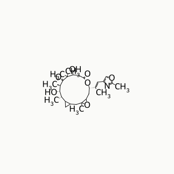 C/C(=C\c1coc(C)n1)[C@@H]1CC2OC2(C)CC2CC2[C@H](C)[C@H](O)[C@@H](C)C(=O)C(C)(C)[C@@H](O)CC(=O)O1